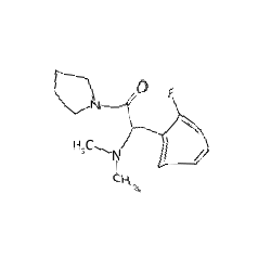 CN(C)C(C(=O)N1CCCC1)c1ccccc1F